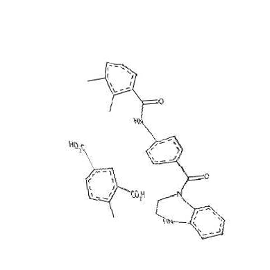 Cc1ccc(C(=O)O)cc1C(=O)O.Cc1cccc(C(=O)Nc2ccc(C(=O)N3CCNc4ccccc43)cc2)c1C